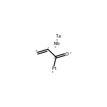 C=C[C](=O)[Pt].[Nb].[Ta]